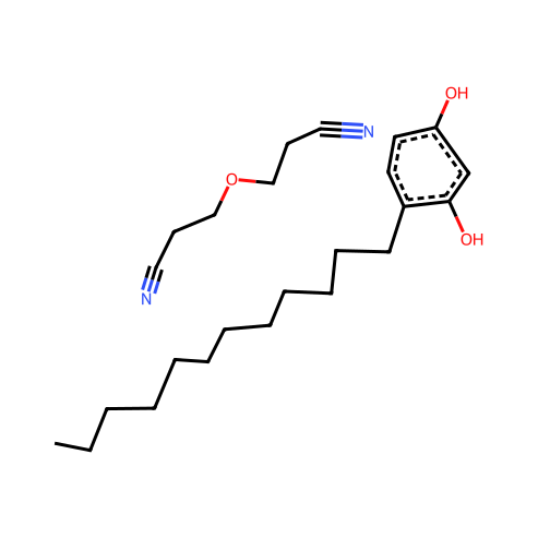 CCCCCCCCCCCCc1ccc(O)cc1O.N#CCCOCCC#N